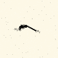 CCCCCCCCCCCCc1ccc(S(=O)(=O)n2nnc3ccc(C(C)=O)cc3c2=O)cc1